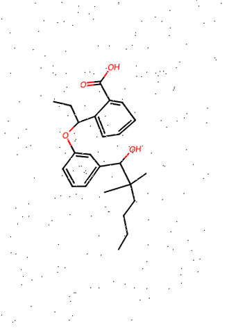 CCCCC(C)(C)C(O)c1cccc(OC(CC)c2ccccc2C(=O)O)c1